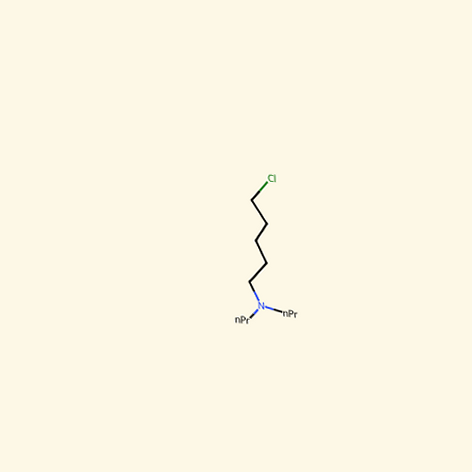 CCCN(CCC)CCCCCCl